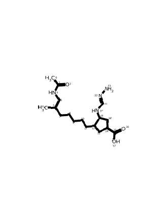 CC(=O)NCC(C)CCCCCC1CC(C(=O)O)CC1NC=NN